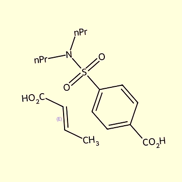 C/C=C/C(=O)O.CCCN(CCC)S(=O)(=O)c1ccc(C(=O)O)cc1